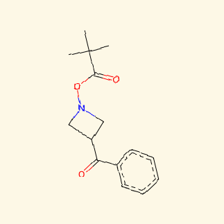 CC(C)(C)C(=O)ON1CC(C(=O)c2ccccc2)C1